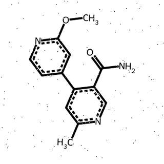 COc1cc(-c2cc(C)ncc2C(N)=O)ccn1